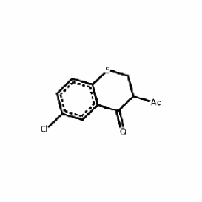 CC(=O)C1CSc2ccc(Cl)cc2C1=O